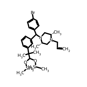 C=CCN1C[C@H](C)N(C(c2ccc(Br)cc2)c2cccc(C(C)(C)C(O[SiH2]C)O[SiH2]C)c2)C[C@@H]1C